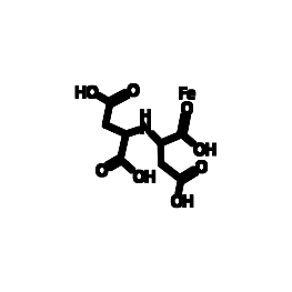 O=C(O)CC(NC(CC(=O)O)C(=O)O)C(=O)O.[Fe]